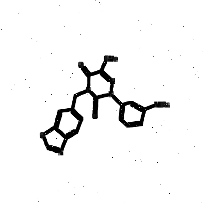 COc1nn(-c2cccc(NC(C)=O)c2)c(=O)n(Cc2ccc3ncoc3c2)c1=O